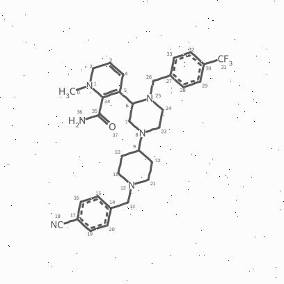 CN1CC=CC(C2CN(C3CCN(Cc4ccc(C#N)cc4)CC3)CCN2Cc2ccc(C(F)(F)F)cc2)=C1C(N)=O